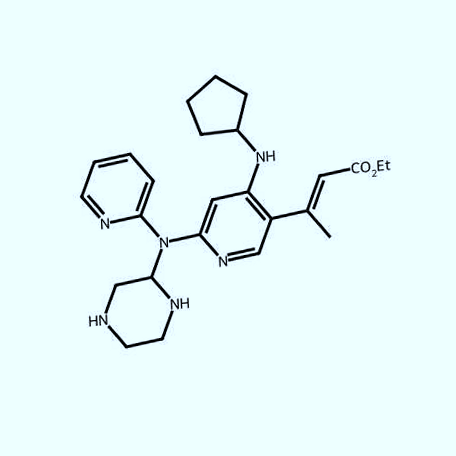 CCOC(=O)C=C(C)c1cnc(N(c2ccccn2)C2CNCCN2)cc1NC1CCCC1